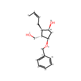 C/C=C\C[C@@H]1[C@@H](CO)[C@H](OCc2ccccc2)C[C@@H]1O